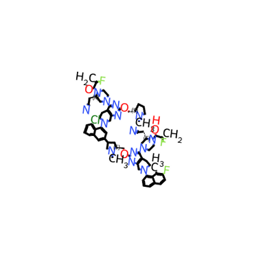 C=C(F)C(=O)N1CCN(c2nc(OC[C@@H]3CCCN3C)nc3c2CCN(c2cc(C4C[C@@H](COc5nc6c(c(N7CCN(C(O)C(=C)F)[C@@H](CC#N)C7)n5)CCN(c5cccc7ccc(F)c(C)c57)C6)N(C)C4)cc4cccc(Cl)c24)C3)C[C@H]1CC#N